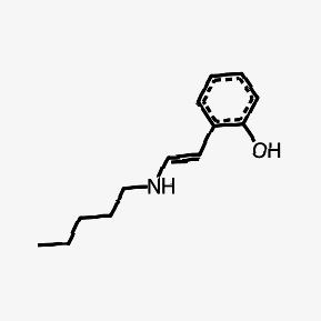 CCCCCNC=Cc1ccccc1O